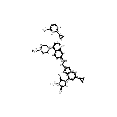 Cc1ccnc([C@H]2C[C@@H]2c2cc(N3CCN(C)CC3)c3ccc(NCc4cn5cc(C6CC6)cc(N6CC(=O)N(C)C6=O)c5n4)cc3n2)n1